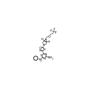 CN(c1ccccc1)c1nc(N)nc(-c2noc(N3C[C@@H]4[C@@H](COCCC(F)(F)F)[C@@H]4C3)n2)n1